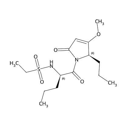 CCC[C@@H]1C(OC)=CC(=O)N1C(=O)[C@@H](CCC)NS(=O)(=O)CC